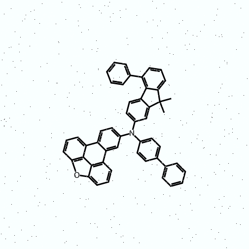 CC1(C)c2cc(N(c3ccc(-c4ccccc4)cc3)c3ccc4c(c3)c3cccc5oc6cccc4c6c53)ccc2-c2c(-c3ccccc3)cccc21